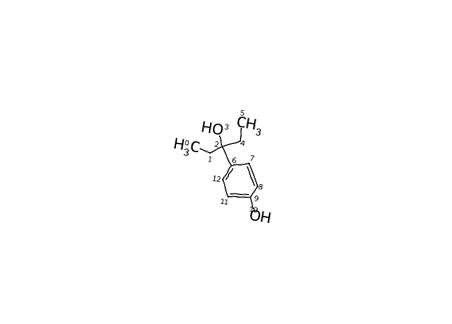 CCC(O)(CC)c1ccc(O)cc1